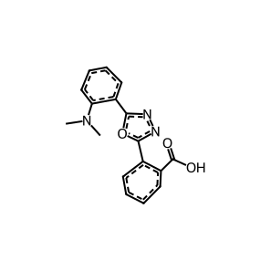 CN(C)c1ccccc1-c1nnc(-c2ccccc2C(=O)O)o1